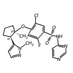 Cn1nccc1[C@H]1CCC[C@@]1(C)Oc1cc(F)c(S(=O)(=O)Nc2ccncn2)cc1Cl